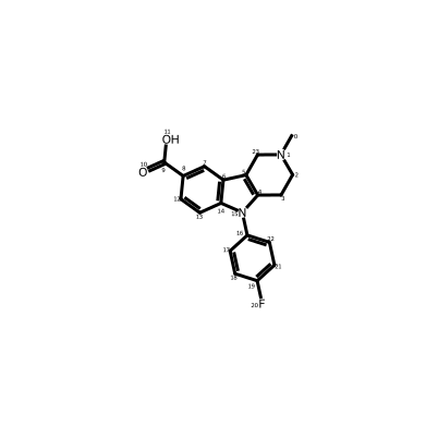 CN1CCc2c(c3cc(C(=O)O)ccc3n2-c2ccc(F)cc2)C1